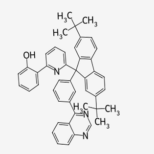 CC(C)(C)c1ccc2c(c1)C(c1cccc(-c3ncnc4ccccc34)c1)(c1cccc(-c3ccccc3O)n1)c1cc(C(C)(C)C)ccc1-2